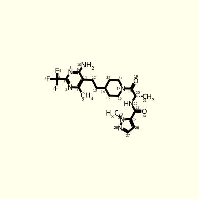 Cc1nc(C(F)(F)F)nc(N)c1CCC1CCN(C(=O)[C@H](C)NC(=O)c2ccnn2C)CC1